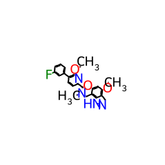 CCOc1nc(C(=O)N(C)Cc2ccc(OC)c3cn[nH]c23)ccc1-c1cccc(F)c1